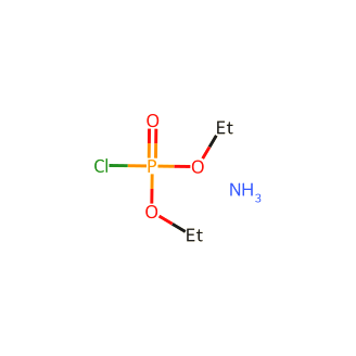 CCOP(=O)(Cl)OCC.N